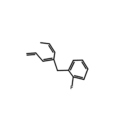 C=C/C=C(\C=C/C)Cc1ccccc1F